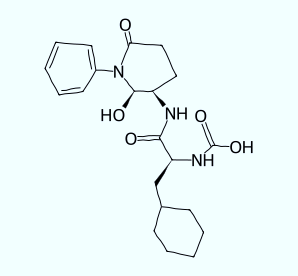 O=C(O)N[C@@H](CC1CCCCC1)C(=O)N[C@@H]1CCC(=O)N(c2ccccc2)[C@@H]1O